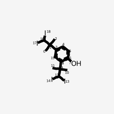 CC(C)(c1ccc(O)c(C(C)(C)C(I)I)c1)C(I)I